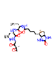 CC(C)C[C@H](NC(=O)CCCC[C@@H]1SCC2NC(=O)NC21)C(=O)N[C@@H](CC(C)C)C(=O)NCC(=O)[C@@]1(C)CO1